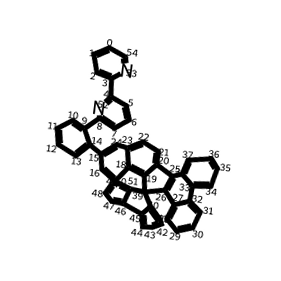 c1ccc(-c2cccc(-c3ccccc3-c3ccc4c5c(ccc4c3)-c3c(c4ccccc4c4ccccc34)C53c4ccccc4-c4ccccc43)n2)nc1